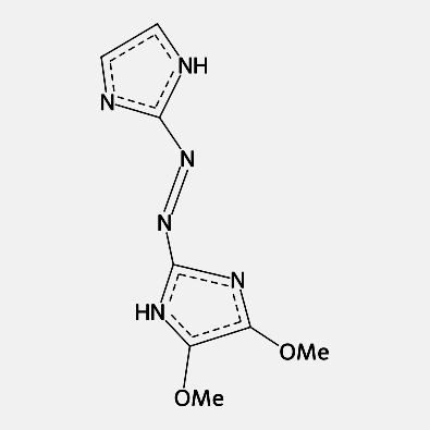 COc1nc(N=Nc2ncc[nH]2)[nH]c1OC